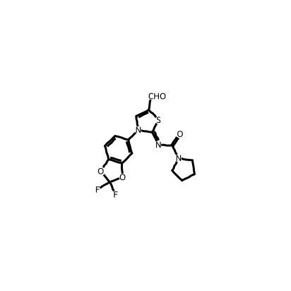 O=Cc1cn(-c2ccc3c(c2)OC(F)(F)O3)/c(=N/C(=O)N2CCCC2)s1